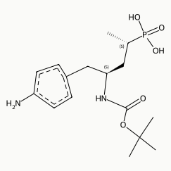 C[C@@H](C[C@H](Cc1ccc(N)cc1)NC(=O)OC(C)(C)C)P(=O)(O)O